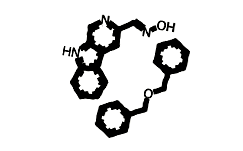 ON=Cc1cc2c(cn1)[nH]c1ccccc12.c1ccc(COCc2ccccc2)cc1